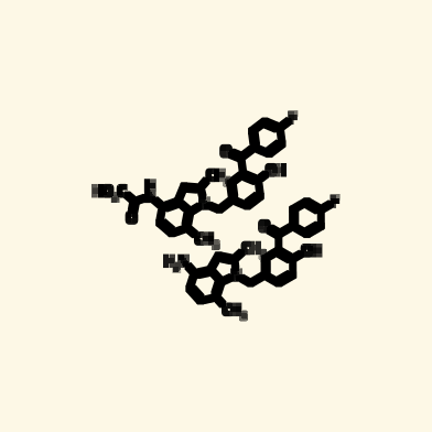 Cc1ccc(N)c2cc(C)n(Cc3ccc(O)c(C(=O)c4ccc(F)cc4)c3)c12.Cc1ccc(NC(=O)C(=O)O)c2cc(C)n(Cc3ccc(O)c(C(=O)c4ccc(F)cc4)c3)c12